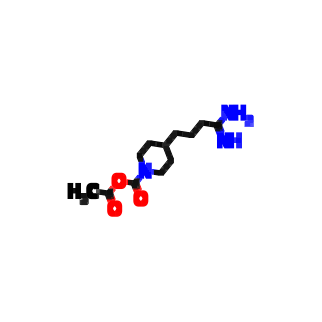 CC(=O)OC(=O)N1CCC(CCCC(=N)N)CC1